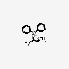 C=CC(=C)C.c1ccc(Oc2ccccc2)cc1